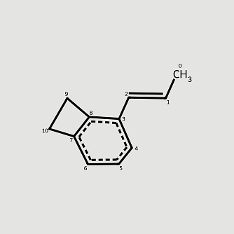 CC=Cc1cccc2c1CC2